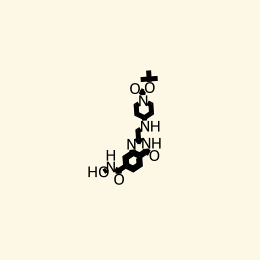 CC(C)(C)OC(=O)N1CCC(NCc2nc3cc(C(=O)NO)ccc3c(=O)[nH]2)CC1